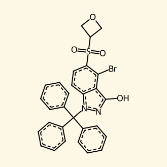 O=S(=O)(c1ccc2c(c(O)nn2C(c2ccccc2)(c2ccccc2)c2ccccc2)c1Br)C1COC1